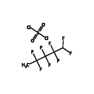 CC(F)(F)C(F)(F)C(F)(F)C(F)F.O=S(=O)(Cl)Cl